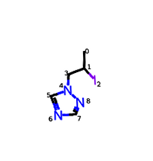 CC(I)Cn1cncn1